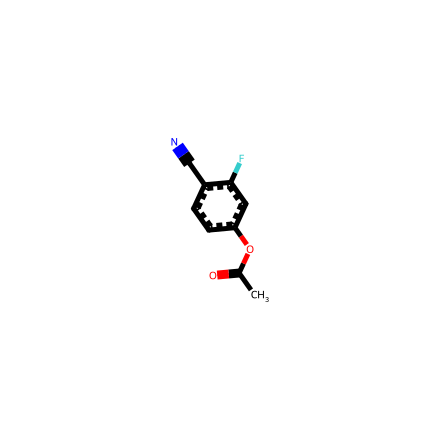 CC(=O)Oc1ccc(C#N)c(F)c1